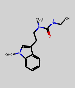 N#CCNC(=O)N(CCc1cn(C=O)c2ccccc12)C(=O)O